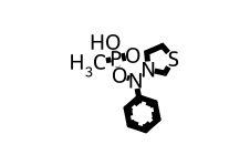 CP(=O)(O)ON(c1ccccc1)N1CCSC1